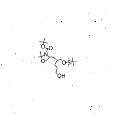 CC(C)(C)OC(=O)N1C(C[C@H](CCCO)CO[Si](C)(C)C(C)(C)C)COC1(C)C